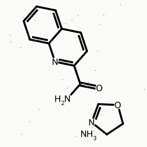 C1=NCCO1.N.NC(=O)c1ccc2ccccc2n1